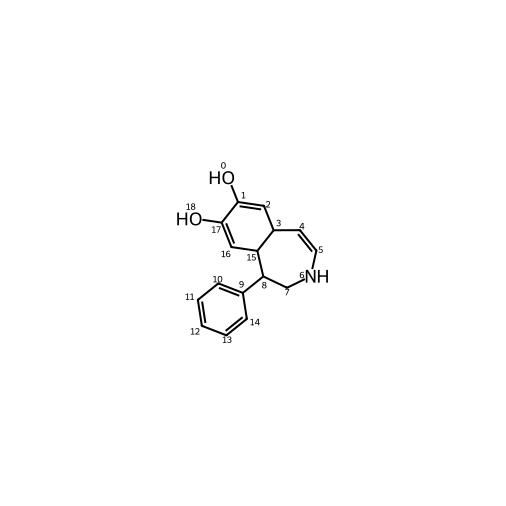 OC1=CC2C=CNCC(c3ccccc3)C2C=C1O